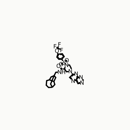 O=C(NCC12CC3CCCC(C1)C(C3)C2)[C@H]1CN(c2cnc3cncnc3n2)CCN1S(=O)(=O)c1ccc(OC(F)(F)F)cc1